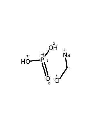 O=[PH](O)O.[Na][CH2]Cl